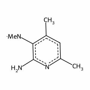 C[N]c1c(C)cc(C)nc1N